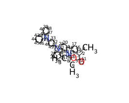 CCCCC1(COC(CC)C(C)n2c3ccccc3c3ccc4c(c5ccccc5n4-c4ccc(-n5c6ccccc6c6ccccc65)cc4)c32)CO1